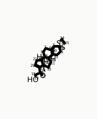 C[C@]12CCC3(C=C1CC[C@@H]1[C@@H]2CC[C@]2(C)C(C(=O)CO)=CC[C@@H]12)SCCS3